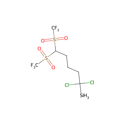 O=S(=O)(C(CCCC([SiH3])(Cl)Cl)S(=O)(=O)C(F)(F)F)C(F)(F)F